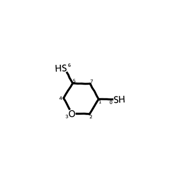 SC1COCC(S)C1